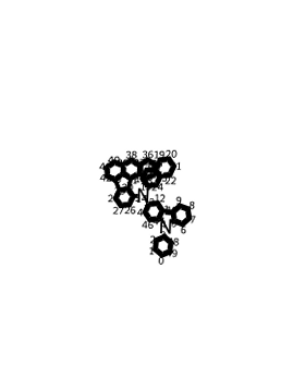 c1ccc(-n2c3ccccc3c3cc(N(c4ccc5ccccc5c4)c4cccc5c4-c4c6ccccc6cc6cccc-5c46)ccc32)cc1